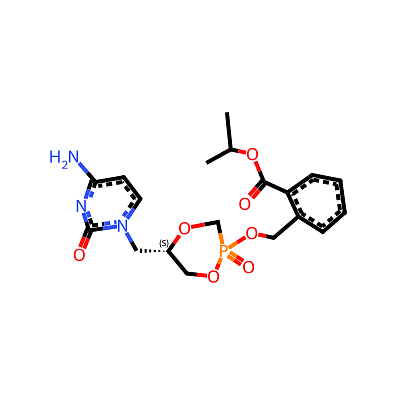 CC(C)OC(=O)c1ccccc1COP1(=O)CO[C@@H](Cn2ccc(N)nc2=O)CO1